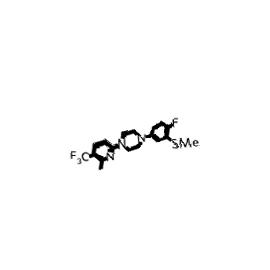 CSc1cc(N2CCN(c3ccc(C(F)(F)F)c(C)n3)CC2)ccc1F